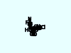 CC(OS(C)(=O)=O)[C@]1(O)CN(S(=O)(=O)c2ccc(Cl)cn2)C[C@@H]1Oc1ccc(C#N)c(F)c1